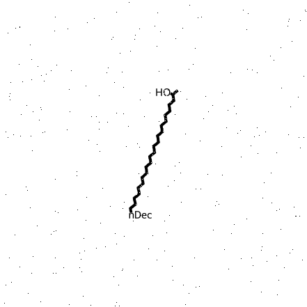 CCCCCCCCCCCCCCCCCCCCCCCCCCCCCCCCC(C)O